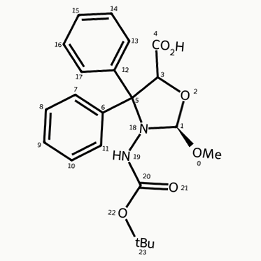 CO[C@@H]1OC(C(=O)O)C(c2ccccc2)(c2ccccc2)N1NC(=O)OC(C)(C)C